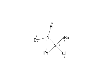 CCC(C)[Si](Cl)(C(C)C)N(CC)CC